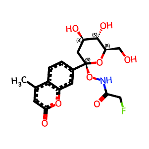 Cc1cc(=O)oc2cc([C@]3(ONC(=O)CF)C[C@@H](O)[C@H](O)[C@@H](CO)O3)ccc12